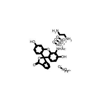 CC(=O)Nc1c(O)ccc2c1Oc1cc(O)ccc1C21OC(=O)c2ccccc21.NCCN.O=[N+]([O-])[O-].O=[N+]([O-])[O-].O=[N+]([O-])[O-].O=[N+]([O-])[O-].[Pt+4]